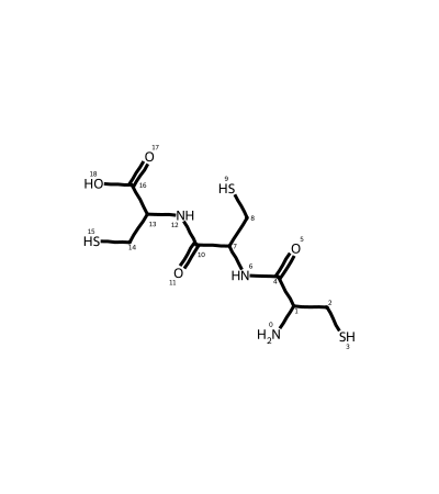 NC(CS)C(=O)NC(CS)C(=O)NC(CS)C(=O)O